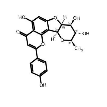 C[C@H]1O[C@H]2c3c(cc(O)c4c(=O)cc(-c5ccc(O)cc5)oc34)O[C@H]2[C@@H](O)[C@@H]1O